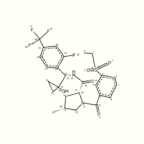 CCS(=O)(=O)c1cccc(C(=O)N2C[C@H](C)C[C@@H]2C(=O)N[C@@H](c2ccc(C(F)(F)F)cc2F)C2(O)CC2)c1